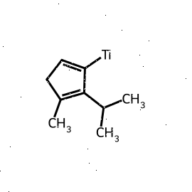 CC1=C(C(C)C)[C]([Ti])=CC1